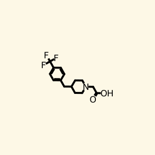 O=C(O)CN1CCC(Cc2ccc(C(F)(F)F)cc2)CC1